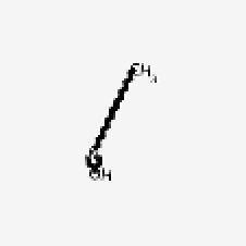 CCCCCCCCC=CCCCCCCCCN1CCC(O)CC1